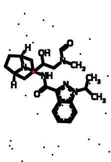 CC(C)n1nc(C(=O)N[C@@H]2C[C@H]3CC[C@@H](C2)N3CC(O)CN(C)C=O)c2ccccc21